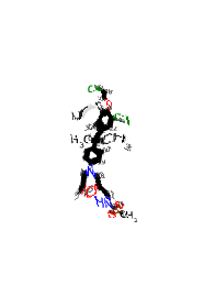 CC(C)(c1ccc(N2CCOC(CNS(C)(=O)=O)C2)cc1)c1cc(Cl)c(OCCCl)c(C#N)c1